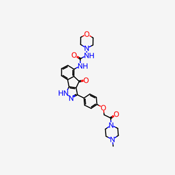 CN1CCN(C(=O)COc2ccc(-c3n[nH]c4c3C(=O)c3c(NC(=O)NN5CCOCC5)cccc3-4)cc2)CC1